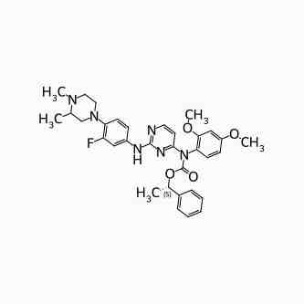 COc1ccc(N(C(=O)O[C@@H](C)c2ccccc2)c2ccnc(Nc3ccc(N4CCN(C)C(C)C4)c(F)c3)n2)c(OC)c1